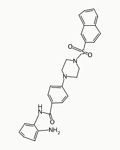 Nc1ccccc1NC(=O)c1ccc(N2CCN(S(=O)(=O)c3ccc4ccccc4c3)CC2)cc1